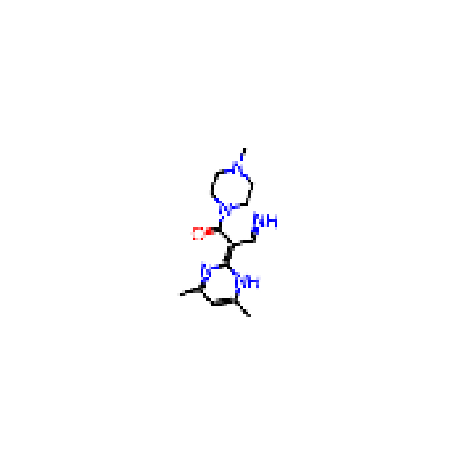 CC1=CC(C)=N/C(=C(/C=N)C(=O)N2CCN(C)CC2)N1